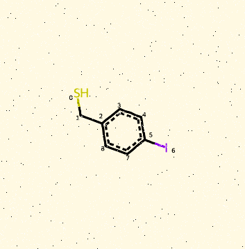 SCc1ccc(I)cc1